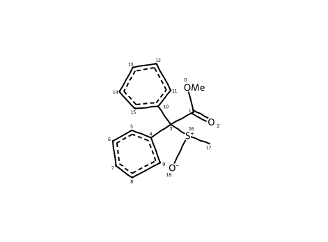 COC(=O)C(c1ccccc1)(c1ccccc1)[S+](C)[O-]